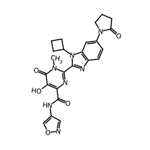 Cn1c(-c2nc3ccc(N4CCCC4=O)cc3n2C2CCC2)nc(C(=O)Nc2cnoc2)c(O)c1=O